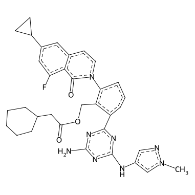 Cn1cc(Nc2nc(N)nc(-c3cccc(-n4ccc5cc(C6CC6)cc(F)c5c4=O)c3COC(=O)CC3CCCCC3)n2)cn1